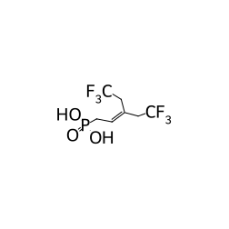 O=P(O)(O)CC=C(CC(F)(F)F)CC(F)(F)F